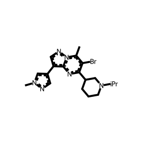 Cc1c(Br)c(C2CCCN(C(C)C)C2)nc2c(-c3cnn(C)c3)cnn12